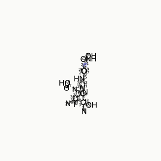 N#Cc1ccc(-c2cnc(N3CCC(NCc4ccc(/C=C/C(=O)NO)cc4)CC3)c(C#N)c2-c2ccc(C#N)c(F)c2)cc1O.O=CO